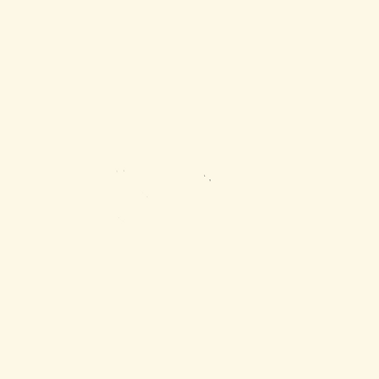 C=CN(CCC)C(Cc1ccccc1)CS(=O)(=O)O